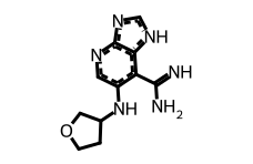 N=C(N)c1c(NC2CCOC2)cnc2nc[nH]c12